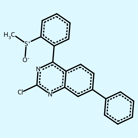 C[S+]([O-])c1ccccc1-c1nc(Cl)nc2cc(-c3ccccc3)ccc12